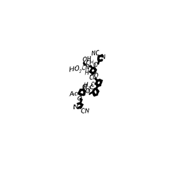 CC(=O)c1cc(Cl)c(OCc2cccc(-c3cccc(COc4cc(OCc5cncc(C#N)c5)c(CN[C@@](C)(CO)C(=O)O)cc4Cl)c3C)c2C)cc1OCc1cncc(C#N)c1